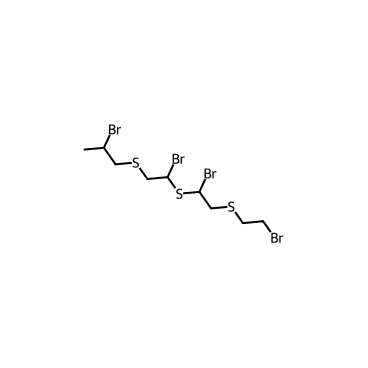 CC(Br)CSCC(Br)SC(Br)CSCCBr